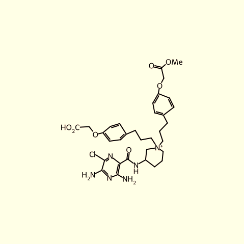 COC(=O)COc1ccc(CCC[N+]2(CCCc3ccc(OCC(=O)O)cc3)CCCC(NC(=O)c3nc(Cl)c(N)nc3N)C2)cc1